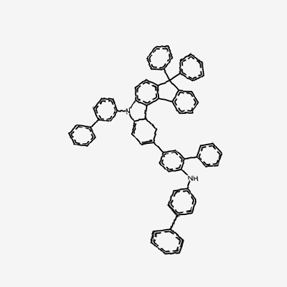 C1=C(c2ccc(Nc3ccc(-c4ccccc4)cc3)c(-c3ccccc3)c2)CC2C(=C1)N(c1cccc(-c3ccccc3)c1)c1ccc3c(c12)-c1ccccc1C3(c1ccccc1)c1ccccc1